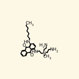 CCCCCCCNc1ccc(NCC[N+](C)(CCN)CCN)c2c1C(=O)c1ccccc1C2=O